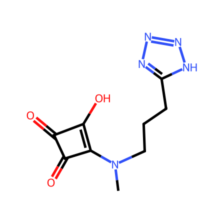 CN(CCCc1nnn[nH]1)c1c(O)c(=O)c1=O